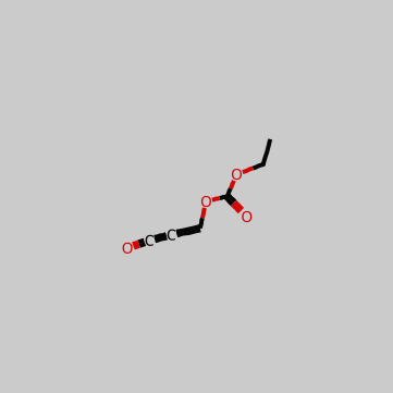 CCOC(=O)OC=C=C=O